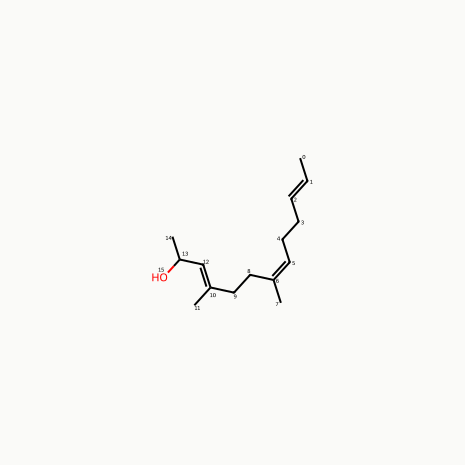 CC=CCCC=C(C)CCC(C)=CC(C)O